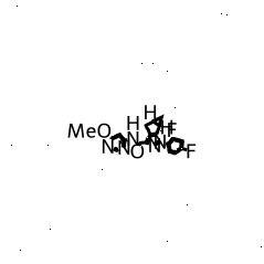 COc1cc(NC(=O)c2nn(-c3ccc(F)cc3F)c3c2C[C@H]2C[C@@H]32)ncn1